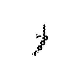 CCCCCCCc1cccc(C2=CC=C(c3ccc(OCC4CO4)cc3)CC2)c1OCC1CO1